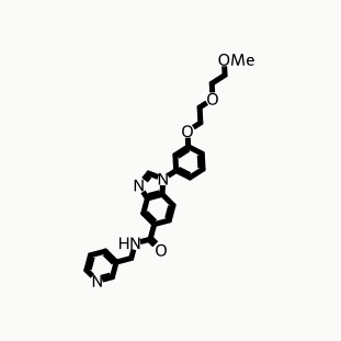 COCCOCCOc1cccc(-n2cnc3cc(C(=O)NCc4cccnc4)ccc32)c1